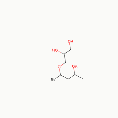 CCC(CC(C)O)OCC(O)CO